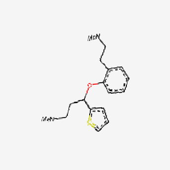 CNCCc1ccccc1OC(CCNC)c1cccs1